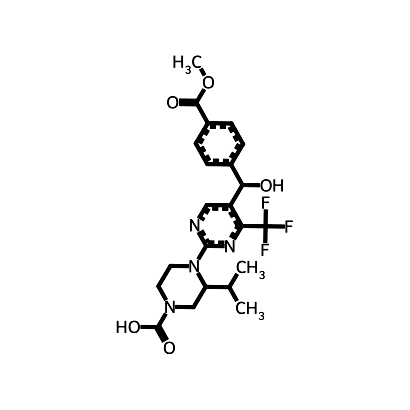 COC(=O)c1ccc(C(O)c2cnc(N3CCN(C(=O)O)CC3C(C)C)nc2C(F)(F)F)cc1